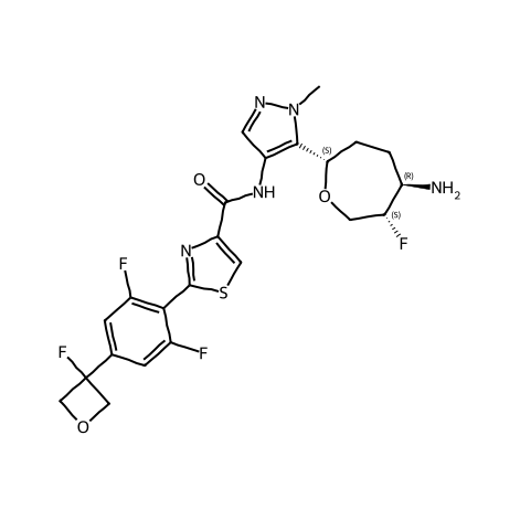 Cn1ncc(NC(=O)c2csc(-c3c(F)cc(C4(F)COC4)cc3F)n2)c1[C@@H]1CC[C@@H](N)[C@H](F)CO1